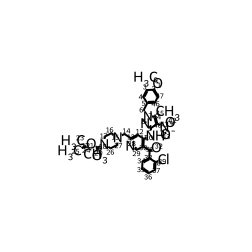 COc1ccc(Cn2nc(Nc3cc(CN4CCN(C(=O)OC(C)(C)C)CC4)ncc3C(=O)c3ccccc3Cl)c([N+](=O)[O-])c2C)cc1